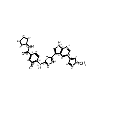 Cn1cc(-c2cnc3[nH]cc(-c4nnc(Nc5ccc(C(=O)NC6CCCC6)cc5Cl)o4)c3c2)cn1